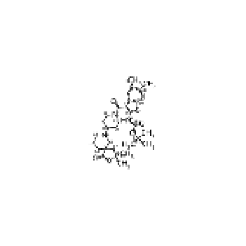 Cc1cc2c(C(=O)N3CCC(N4CCCC5(C4)CC(C)(C)OC5=O)CC3)c(NC(=O)OC(C)(C)C)sc2nc1C